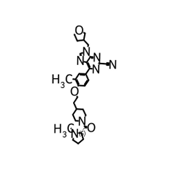 Cc1cc(-c2nc(C#N)nc3c2ncn3CC2CCOC2)ccc1OCCC1CCN(C(=O)[C@@H]2CCCN2C)CC1